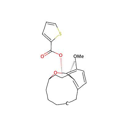 COc1ccc2c3c1OC(CCCCC2)C[C@@H](OC(=O)c1cccs1)[C@@H]3C